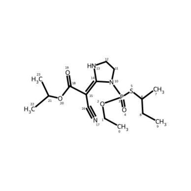 CCOP(=O)(SC(C)CC)N1CCNC1=C(C#N)C(=O)OC(C)C